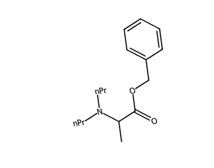 CCCN(CCC)C(C)C(=O)OCc1ccccc1